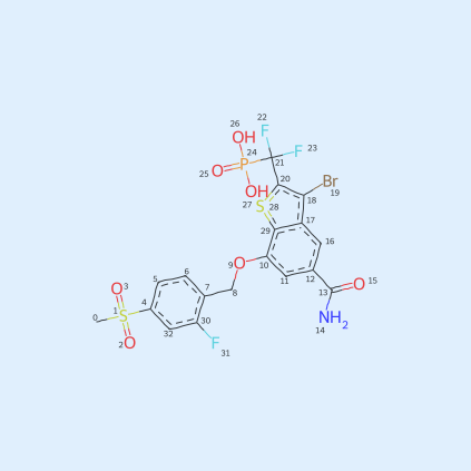 CS(=O)(=O)c1ccc(COc2cc(C(N)=O)cc3c(Br)c(C(F)(F)P(=O)(O)O)sc23)c(F)c1